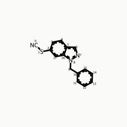 N#CSc1ccc2cnn(Cc3ccccc3)c2c1